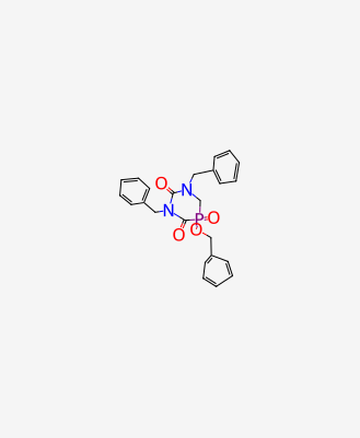 O=C1N(Cc2ccccc2)CP(=O)(OCc2ccccc2)C(=O)N1Cc1ccccc1